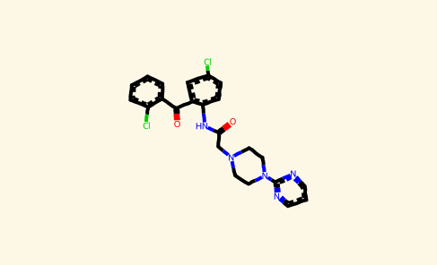 O=C(CN1CCN(c2ncccn2)CC1)Nc1ccc(Cl)cc1C(=O)c1ccccc1Cl